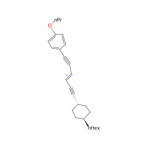 CCCCCC[C@H]1CC[C@H](C#C/C=C/C#Cc2ccc(OCCC)cc2)CC1